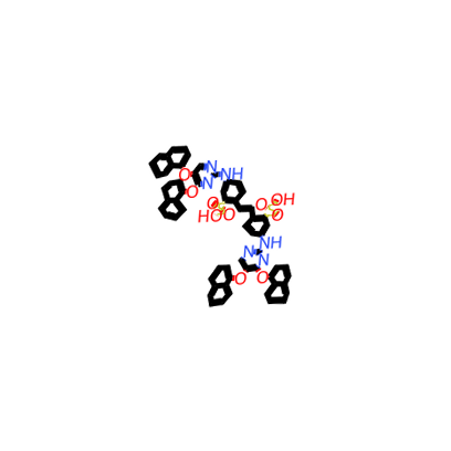 O=S(=O)(O)c1cc(Nc2ncc(Oc3cccc4ccccc34)c(Oc3cccc4ccccc34)n2)ccc1C=Cc1ccc(Nc2ncc(Oc3cccc4ccccc34)c(Oc3cccc4ccccc34)n2)cc1S(=O)(=O)O